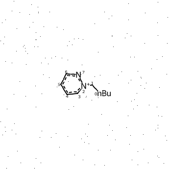 CCCCC[n+]1ccccn1